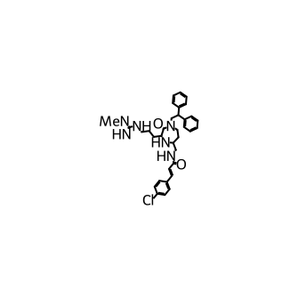 CNC(=N)NCCCC1NC(CNC(=O)/C=C/c2ccc(Cl)cc2)CCN(CC(c2ccccc2)c2ccccc2)C1=O